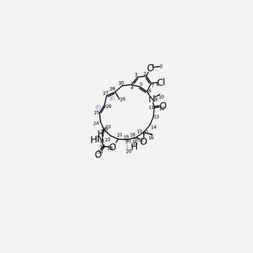 COc1cc2cc(c1Cl)N(C)C(=O)CC[C@]1(C)O[C@H]1[C@H](C)C1C[C@H](C/C=C/C=C(\C)C2)NC(=O)O1